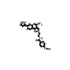 COc1ccc(C(=O)NCCn2cc3c(N)nc4cc(-c5cc[nH]n5)ccc4c3n2)nc1